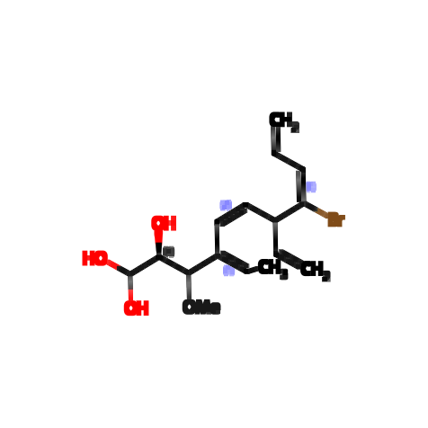 C=C/C=C(/Br)C(C=C)/C=C\C(=C/C)C(OC)[C@H](O)C(O)O